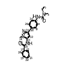 CCN(C)C(=O)Nc1ccc(-c2cc(NC(=O)c3ccccc3)n(C)n2)cc1